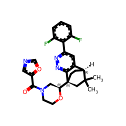 CC1(C)C[C@]2([C@@H]3CN(C(=O)c4cnco4)CCO3)CC[C@H]1c1cc(-c3c(F)cccc3F)nnc12